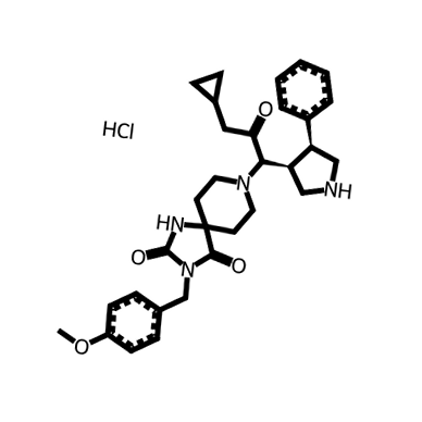 COc1ccc(CN2C(=O)NC3(CCN(C(C(=O)CC4CC4)[C@@H]4CNC[C@@H]4c4ccccc4)CC3)C2=O)cc1.Cl